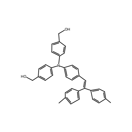 Cc1ccc(C(=Cc2ccc(N(c3ccc(CO)cc3)c3ccc(CO)cc3)cc2)c2ccc(C)cc2)cc1